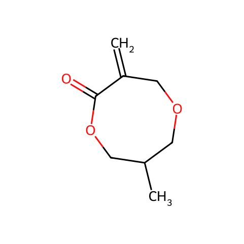 C=C1COCC(C)COC1=O